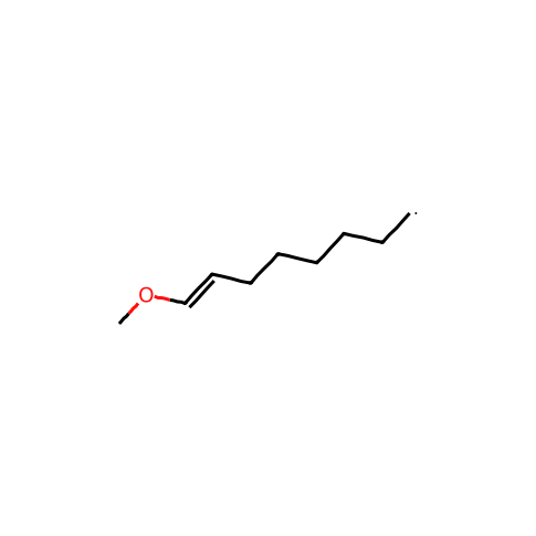 [CH2]CCCCCC=COC